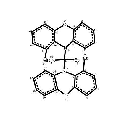 CCc1cccc2c1N(C(CC)(N1c3ccccc3Oc3cccc(Cl)c31)S(=O)(=O)O)c1ccccc1O2